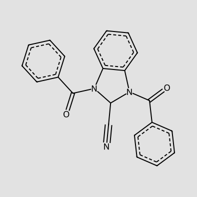 N#CC1N(C(=O)c2ccccc2)c2ccccc2N1C(=O)c1ccccc1